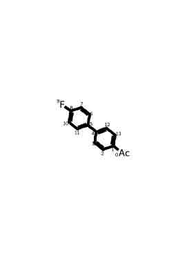 CC(=O)c1c[c]c(-c2ccc(F)cc2)cc1